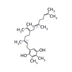 CC(C)=CCC/C(C)=C/CC(CC/C(C)=C/Cc1cc(O)c(C)c(C)c1O)=C(C)C